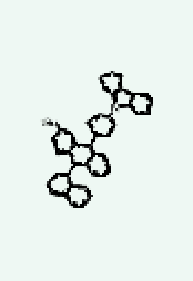 CC(C)(C)c1ccc2c(-c3cccc4ccccc34)c3ccccc3c(-c3ccc(-n4c5ccccc5c5ccccc54)cc3)c2c1